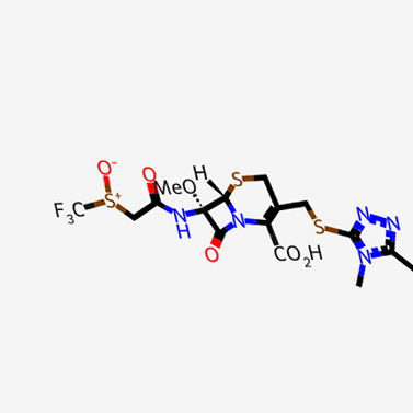 CO[C@@]1(NC(=O)C[S+]([O-])C(F)(F)F)C(=O)N2C(C(=O)O)=C(CSc3nnc(C)n3C)CS[C@H]21